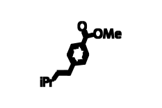 COC(=O)c1ccc(/C=C/C(C)C)cc1